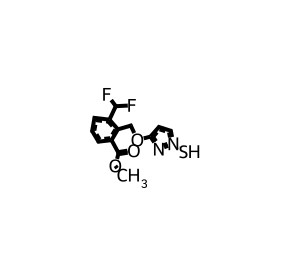 COC(=O)c1cccc(C(F)F)c1COc1ccn(S)n1